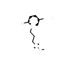 Nc1ccc(C(=O)O)c[n+]1CCCS(=O)(=O)NO